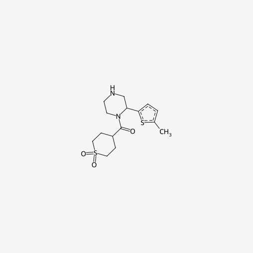 Cc1ccc(C2CNCCN2C(=O)C2CCS(=O)(=O)CC2)s1